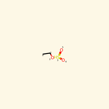 CCO[SH](=O)=O